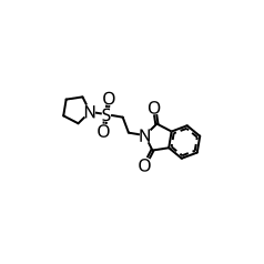 O=C1c2ccccc2C(=O)N1CCS(=O)(=O)N1CCCC1